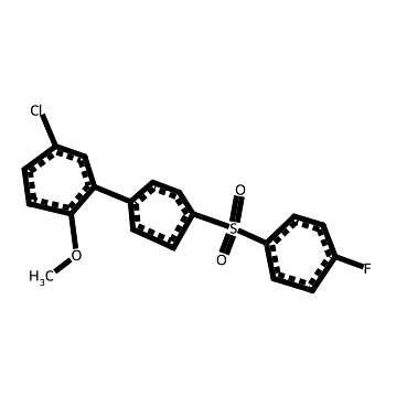 COc1ccc(Cl)cc1-c1ccc(S(=O)(=O)c2ccc(F)cc2)cc1